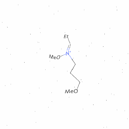 CC/C=[N+](/CCCOC)OC